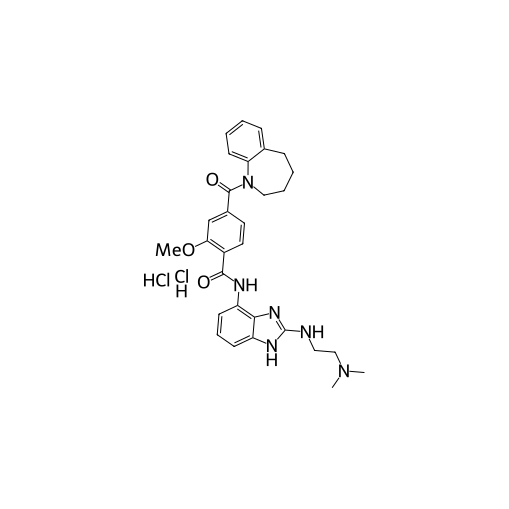 COc1cc(C(=O)N2CCCCc3ccccc32)ccc1C(=O)Nc1cccc2[nH]c(NCCN(C)C)nc12.Cl.Cl